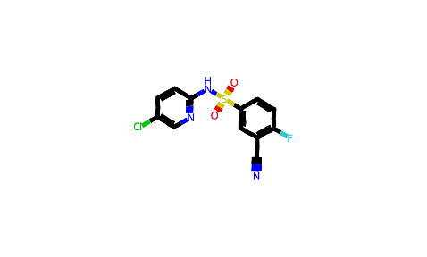 N#Cc1cc(S(=O)(=O)Nc2ccc(Cl)cn2)ccc1F